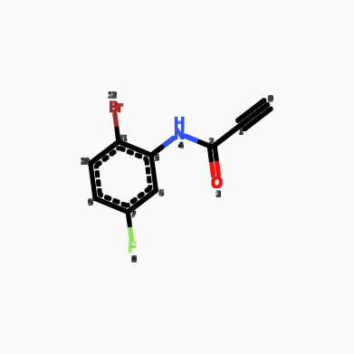 C#CC(=O)Nc1cc(F)ccc1Br